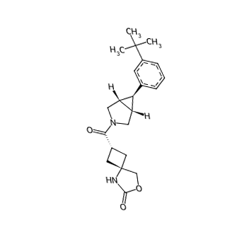 CC(C)(C)c1cccc([C@H]2[C@@H]3CN(C(=O)[C@H]4C[C@]5(COC(=O)N5)C4)C[C@@H]32)c1